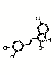 Cc1[nH]c2ccc(Cl)cc2c1/C=C/c1ccc(Cl)c(Cl)c1